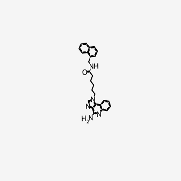 Nc1nc2ccccc2c2c1ncn2CCCCCC(=O)NCc1cccc2ccccc12